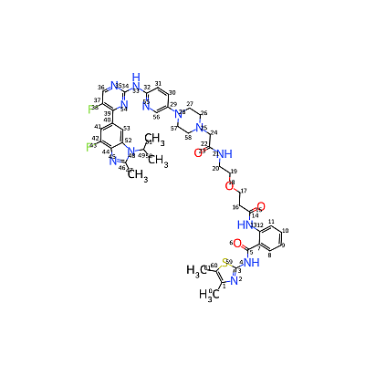 Cc1nc(NC(=O)c2ccccc2NC(=O)CCOCCNC(=O)CN2CCN(c3ccc(Nc4ncc(F)c(-c5cc(F)c6nc(C)n(C(C)C)c6c5)n4)nc3)CC2)sc1C